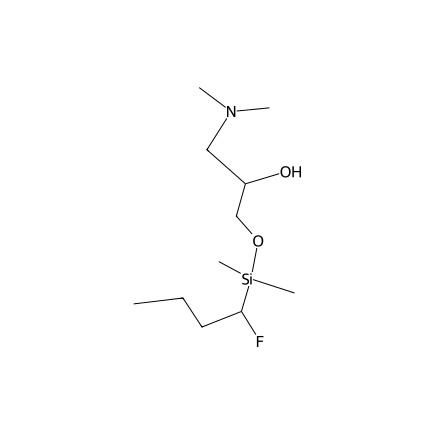 CCCC(F)[Si](C)(C)OCC(O)CN(C)C